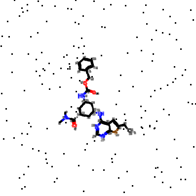 CN(C)C(=O)[C@@H]1C[C@H](NC(=O)OCc2ccccc2)C[C@H](Nc2ncnc3sc(CC(F)(F)F)cc23)C1